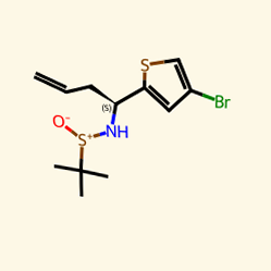 C=CC[C@H](N[S+]([O-])C(C)(C)C)c1cc(Br)cs1